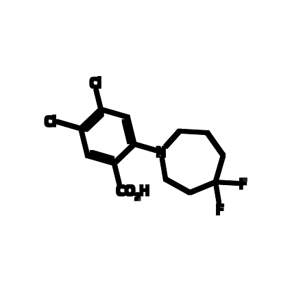 O=C(O)c1cc(Cl)c(Cl)cc1N1CCCC(F)(F)CC1